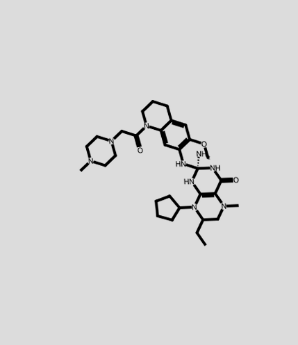 CCC1CN(C)C2=C(N[C@@](N)(Nc3cc4c(cc3OC)CCCN4C(=O)CN3CCN(C)CC3)NC2=O)N1C1CCCC1